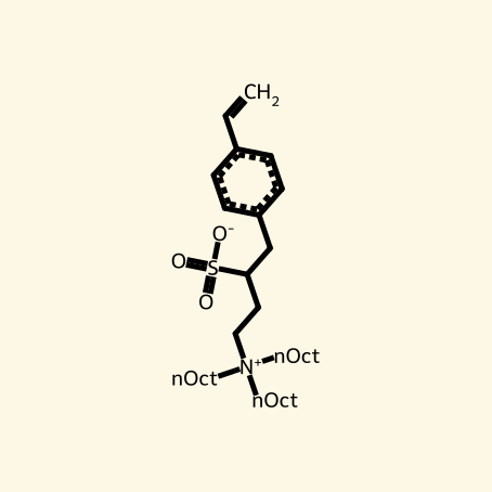 C=Cc1ccc(CC(CC[N+](CCCCCCCC)(CCCCCCCC)CCCCCCCC)S(=O)(=O)[O-])cc1